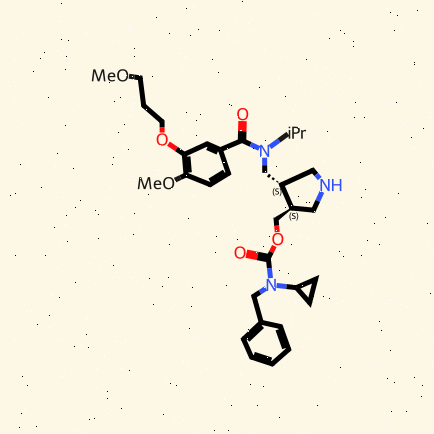 COCCCOc1cc(C(=O)N(C[C@@H]2CNC[C@H]2COC(=O)N(Cc2ccccc2)C2CC2)C(C)C)ccc1OC